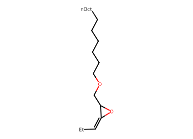 CCC=C1OC1COCCCCCCCCCCCCCC